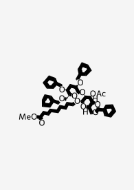 COC(=O)CCCCCCCCO[C@H]1O[C@@H]2COC(c3ccccc3)O[C@H]2[C@H](OC(C)=O)[C@H]1O[C@H]1O[C@H](COCc2ccccc2)[C@H](OCc2ccccc2)C[C@H]1OCc1ccccc1